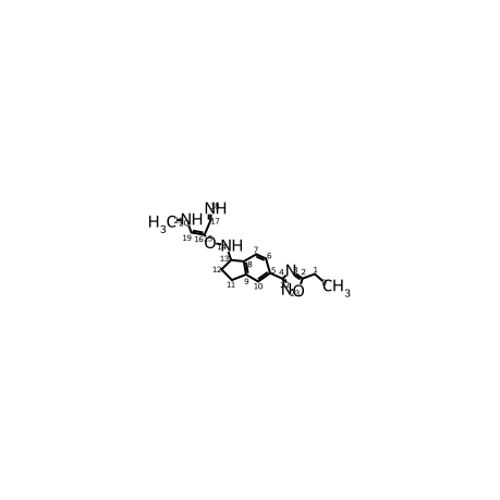 CCc1nc(-c2ccc3c(c2)CCC3NO/C(C=N)=C/NC)no1